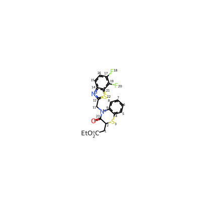 CCOC(=O)CC1Sc2ccccc2N(Cc2nc3ccc(F)c(F)c3s2)C1=O